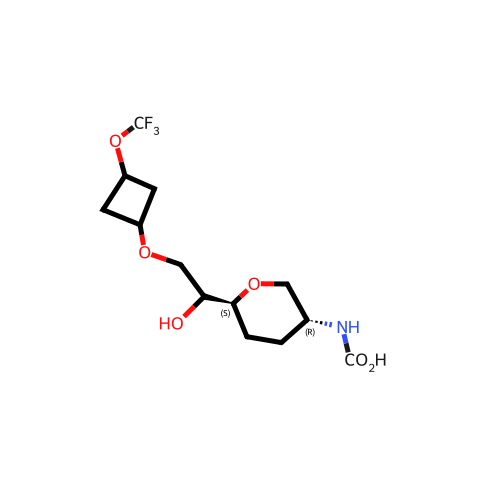 O=C(O)N[C@@H]1CC[C@@H](C(O)COC2CC(OC(F)(F)F)C2)OC1